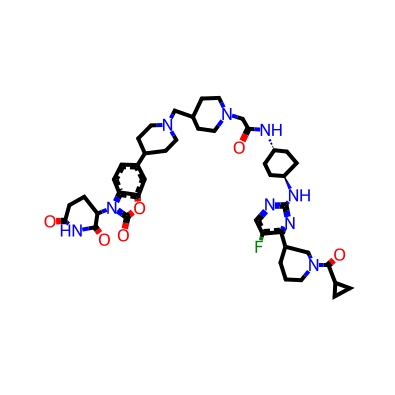 O=C1CCC(n2c(=O)oc3cc(C4CCN(CC5CCN(CC(=O)N[C@H]6CC[C@H](Nc7ncc(F)c(C8CCCN(C(=O)C9CC9)C8)n7)CC6)CC5)CC4)ccc32)C(=O)N1